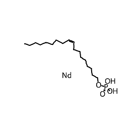 CCCCCCCC/C=C\CCCCCCCCOP(=O)(O)O.[Nd]